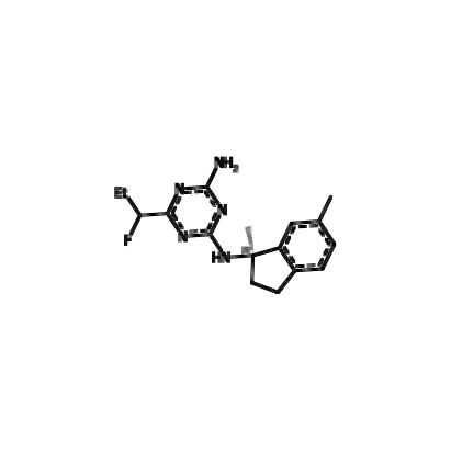 CCC(F)c1nc(N)nc(N[C@]2(C)CCc3ccc(C)cc32)n1